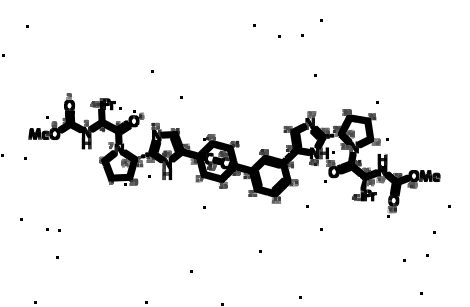 COC(=O)NC(C(=O)N1CCC[C@H]1c1ncc(C23CCC(c4cccc(-c5cnc([C@@H]6CCCN6C(=O)[C@@H](NC(=O)OC)C(C)C)[nH]5)c4)(CC2)CC3)[nH]1)C(C)C